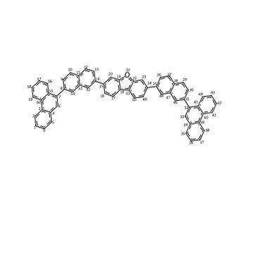 c1ccc2c(c1)cc(-c1ccc3ccc(-c4ccc5c(c4)oc4cc(-c6ccc7ccc(-c8cc9ccccc9c9ccccc89)cc7c6)ccc45)cc3c1)c1ccccc12